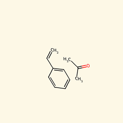 C=Cc1ccccc1.CC(C)=O